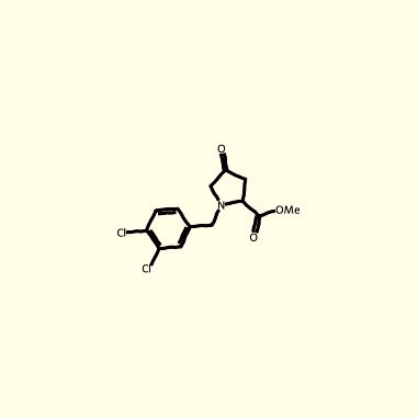 COC(=O)C1CC(=O)CN1Cc1ccc(Cl)c(Cl)c1